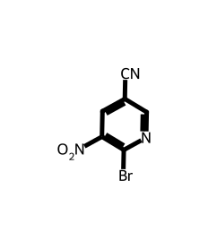 N#Cc1cnc(Br)c([N+](=O)[O-])c1